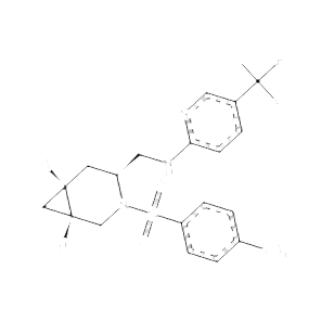 Cc1ccc(S(=O)(=O)N2C[C@@H]3C[C@@H]3C[C@H]2CNc2ccc(C(F)(F)F)cn2)cc1